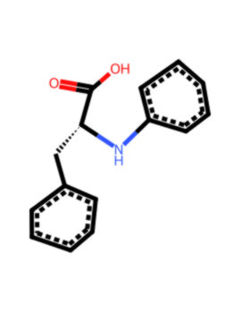 O=C(O)[C@@H](Cc1ccccc1)Nc1ccccc1